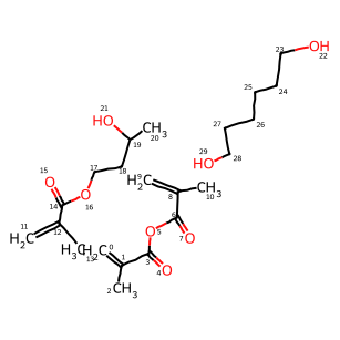 C=C(C)C(=O)OC(=O)C(=C)C.C=C(C)C(=O)OCCC(C)O.OCCCCCCO